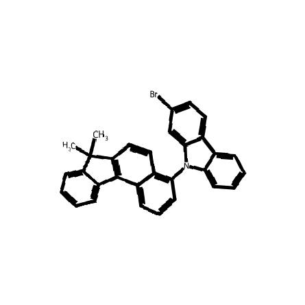 CC1(C)c2ccccc2-c2c1ccc1c(-n3c4ccccc4c4ccc(Br)cc43)cccc21